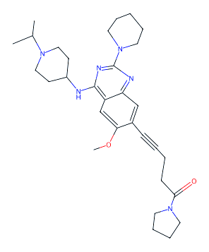 COc1cc2c(NC3CCN(C(C)C)CC3)nc(N3CCCCC3)nc2cc1C#CCCC(=O)N1CCCC1